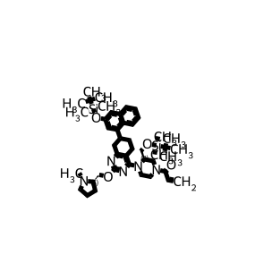 C=CC(=O)N1CCN(c2nc(OC[C@@H]3CCCN3C)nc3c2CCC(c2cc(O[Si](C)(C)C(C)(C)C)cc4ccccc24)C3)[C@@H](CO[Si](C)(C)C(C)(C)C)C1